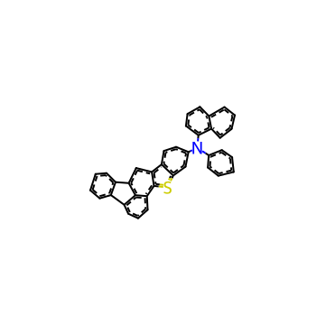 c1ccc(N(c2ccc3c(c2)sc2c4cccc5c4c(cc32)-c2ccccc2-5)c2cccc3ccccc23)cc1